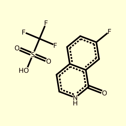 O=S(=O)(O)C(F)(F)F.O=c1[nH]ccc2ccc(F)cc12